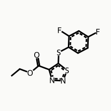 CCOC(=O)c1nnsc1Sc1ccc(F)cc1F